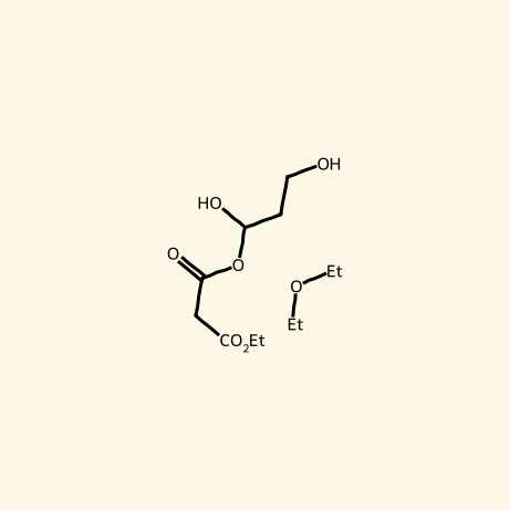 CCOC(=O)CC(=O)OC(O)CCO.CCOCC